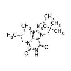 CCCc1nc2c(c(=O)[nH]c(=O)n2CC(C)CC)n1CC(C)(C)C